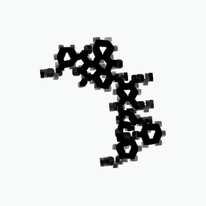 Cn1c(=O)c(C(=O)c2cccc(S(=O)(=O)O)c2)c2c3c(c(Nc4cc(Nc5nc(Nc6ccccc6C(=O)O)nc(Oc6cccc(C(=O)O)c6)n5)c(S(=O)(=O)O)cc4S(=O)(=O)O)ccc31)C(=O)c1ccccc1-2